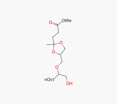 CCCCCCCCC(CO)OCC1COC(C)(CCC(=O)OC)O1